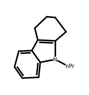 CCCn1c2c(c3ccccc31)CCCC2